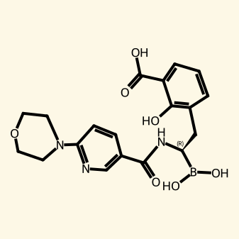 O=C(N[C@@H](Cc1cccc(C(=O)O)c1O)B(O)O)c1ccc(N2CCOCC2)nc1